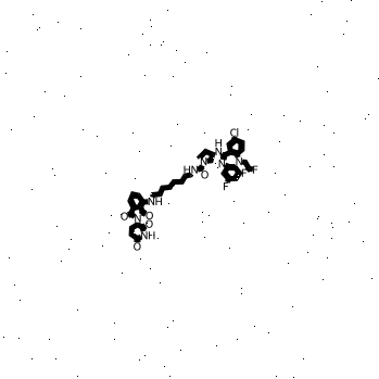 O=C1CCC(N2C(=O)c3cccc(NCCCCCCCCNC(=O)N4CC[C@H](NC5=Nc6cc(F)ccc6N(CC(F)F)c6ccc(Cl)cc65)C4)c3C2=O)C(=O)N1